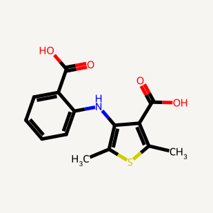 Cc1sc(C)c(C(=O)O)c1Nc1ccccc1C(=O)O